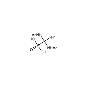 CC(=O)NC(NC(C)=O)(C(C)C)P(=O)(O)O